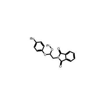 CCC(C)c1ccc(OC(CN2C(=O)c3ccccc3C2=O)OC(C)C)cc1